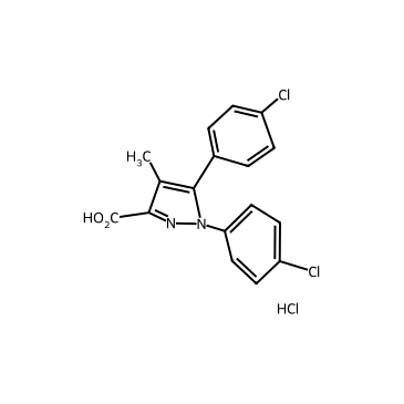 Cc1c(C(=O)O)nn(-c2ccc(Cl)cc2)c1-c1ccc(Cl)cc1.Cl